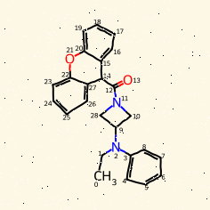 CCN(c1ccccc1)C1CN(C(=O)C2c3ccccc3Oc3ccccc32)C1